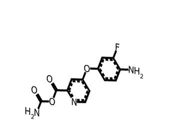 NC(=O)OC(=O)c1cc(Oc2ccc(N)c(F)c2)ccn1